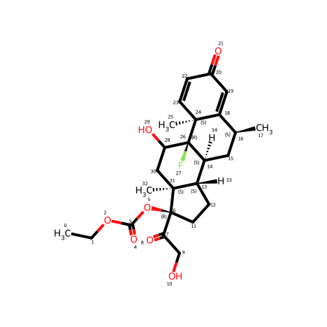 CCOC(=O)O[C@]1(C(=O)CO)CC[C@H]2[C@@H]3C[C@H](C)C4=CC(=O)C=C[C@]4(C)[C@@]3(F)C(O)C[C@@]21C